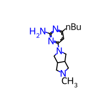 CCCCc1cc(N2CC3CN(C)CC3C2)nc(N)n1